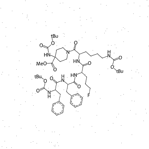 COC(=O)C1(NC(=O)OC(C)(C)C)CCN(C(=O)C(CCCCNC(=O)OC(C)(C)C)NC(=O)C(CCCF)NC(=O)C(Cc2ccccc2)NC(=O)C(Cc2ccccc2)NC(=O)OC(C)(C)C)CC1